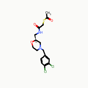 CC(=O)SCC(=O)NC[C@H]1CN(Cc2ccc(Cl)c(Cl)c2)CCO1